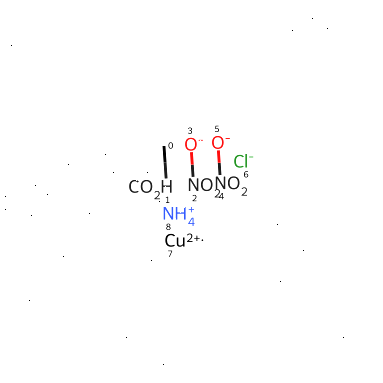 CC(=O)O.O=[N+]([O-])[O-].O=[N+]([O-])[O-].[Cl-].[Cu+2].[NH4+]